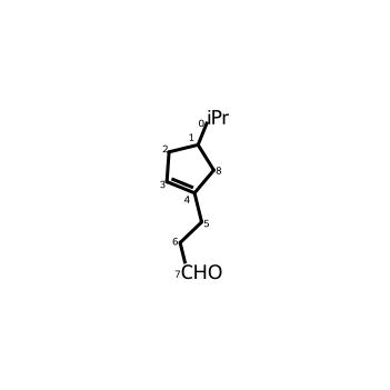 CC(C)C1CC=C(CCC=O)C1